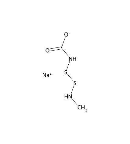 CNSSNC(=O)[O-].[Na+]